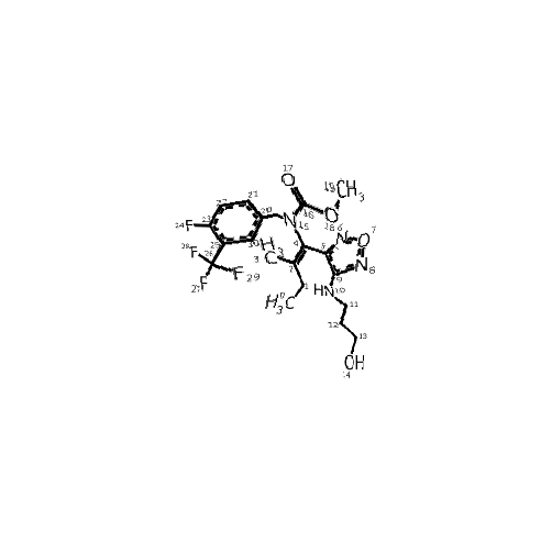 CC/C(C)=C(\c1nonc1NCCCO)N(C(=O)OC)c1ccc(F)c(C(F)(F)F)c1